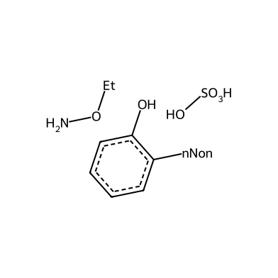 CCCCCCCCCc1ccccc1O.CCON.O=S(=O)(O)O